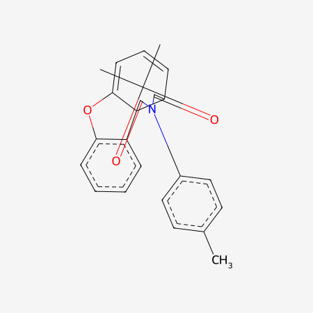 Cc1ccc(N2C(=O)C3C=CC=C4Oc5ccccc5C43C2=O)cc1